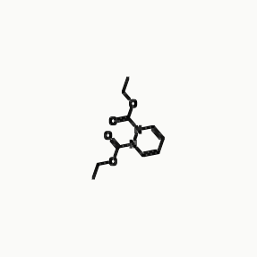 CCOC(=O)N1C=CC=CN1C(=O)OCC